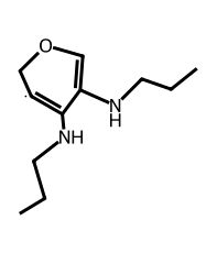 CCCNC1=[C]COC=C1NCCC